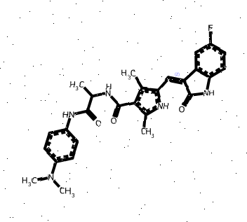 Cc1[nH]c(/C=C2\C(=O)Nc3ccc(F)cc32)c(C)c1C(=O)NC(C)C(=O)Nc1ccc(N(C)C)cc1